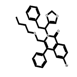 CCCCOCc1c(-c2ccccc2)c2cc(Br)ccc2c(=O)n1C(Cc1ccccc1)C1=COCO1